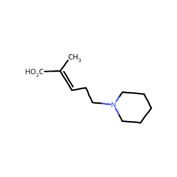 CC(=CCCN1CCCCC1)C(=O)O